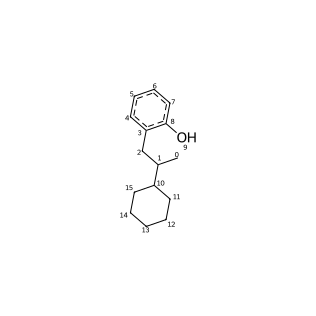 CC(Cc1ccccc1O)C1CCCCC1